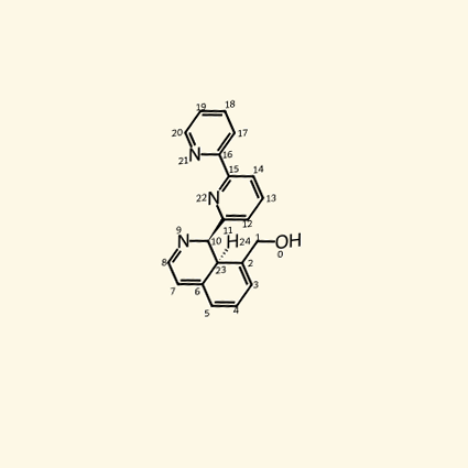 OCC1=CC=CC2=CC=N[C@@H](c3cccc(-c4ccccn4)n3)[C@H]21